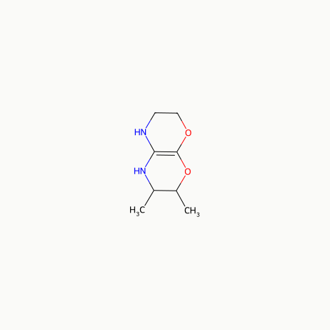 CC1NC2=C(OCCN2)OC1C